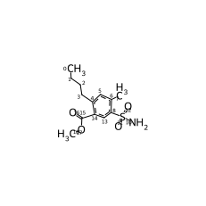 CCCCc1cc(C)c(S(N)(=O)=O)cc1C(=O)OC